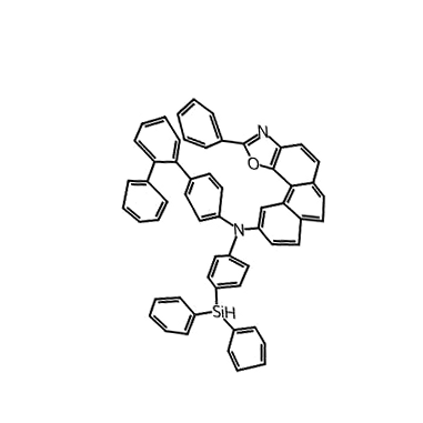 c1ccc(-c2nc3ccc4ccc5ccc(N(c6ccc(-c7ccccc7-c7ccccc7)cc6)c6ccc([SiH](c7ccccc7)c7ccccc7)cc6)cc5c4c3o2)cc1